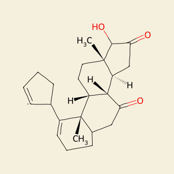 C[C@]12C(C3[C]=CCC3)=CCCC1CC(=O)[C@@H]1[C@H]2CC[C@]2(C)C(O)C(=O)C[C@@H]12